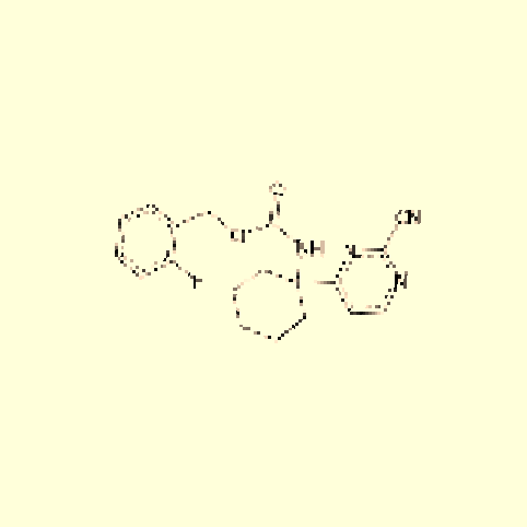 N#Cc1nccc(C2(NC(=O)OCc3ccccc3F)CCCCC2)n1